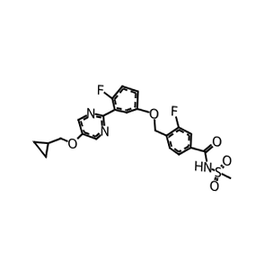 CS(=O)(=O)NC(=O)c1ccc(COc2ccc(F)c(-c3ncc(OCC4CC4)cn3)c2)c(F)c1